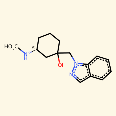 O=C(O)N[C@@H]1CCCC(O)(Cn2ncc3ccccc32)C1